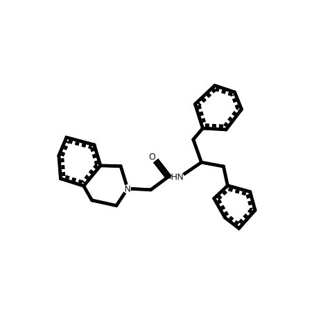 O=C(CN1CCc2ccccc2C1)NC(Cc1ccccc1)Cc1ccccc1